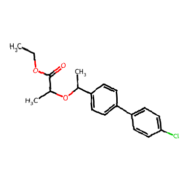 CCOC(=O)C(C)OC(C)c1ccc(-c2ccc(Cl)cc2)cc1